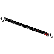 BB=BB=BB=BB=BB=BB=BB=BB=BB=BB=BB=BB=BB=BB=BB=BB=BB=BB=BB=BB=BB=BB=BB=BOC